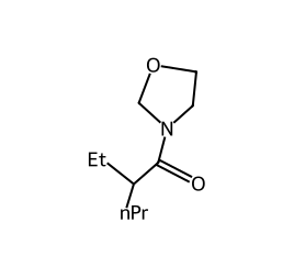 CCCC(CC)C(=O)N1CCOC1